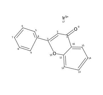 O=c1cc(-c2ccccc2)oc2ccccc12.[Ir+3]